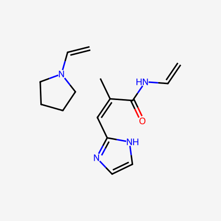 C=CN1CCCC1.C=CNC(=O)C(C)=Cc1ncc[nH]1